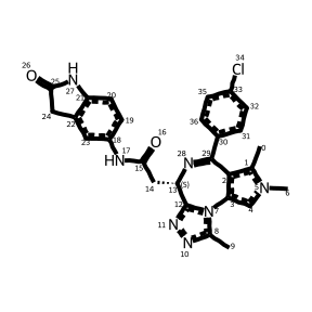 Cc1c2c(cn1C)-n1c(C)nnc1[C@H](CC(=O)Nc1ccc3c(c1)CC(=O)N3)N=C2c1ccc(Cl)cc1